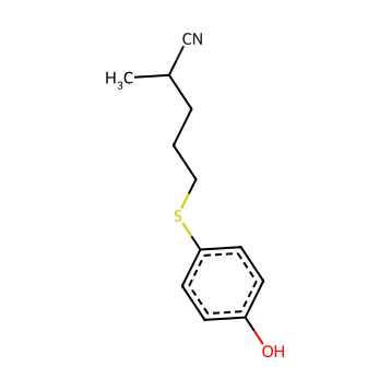 CC(C#N)CCCSc1ccc(O)cc1